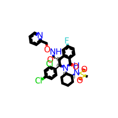 CS(=O)(=O)N[C@H]1CCCC[C@@H]1N1C(=O)c2ccc(F)cc2[C@@H](C(=O)NOCc2ccccn2)[C@@H]1c1ccc(Cl)cc1Cl